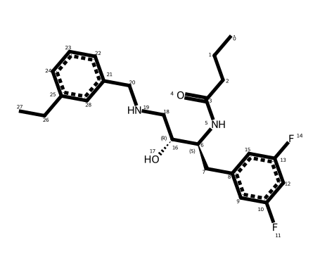 [CH2]CCC(=O)N[C@@H](Cc1cc(F)cc(F)c1)[C@H](O)CNCc1cccc(CC)c1